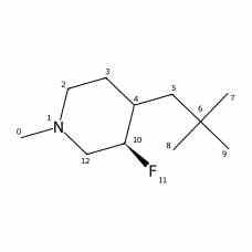 CN1CCC(CC(C)(C)C)[C@@H](F)C1